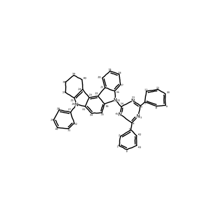 c1ccc(-c2nc(-c3ccccc3)nc(-n3c4ccccc4c4c5c6c(n(-c7ccccc7)c5ccc43)CCCC6)n2)cc1